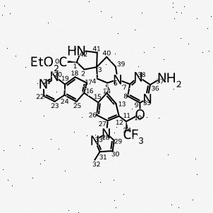 CCOC(=O)[C@@H]1CC2(CCN(c3cc(O[C@H](c4ccc(-c5ccc6nnccc6c5)cc4-n4ccc(C)n4)C(F)(F)F)nc(N)n3)CC2)CN1